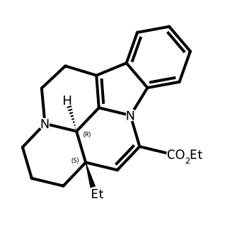 CCOC(=O)C1=C[C@]2(CC)CCCN3CCc4c(n1c1ccccc41)[C@H]32